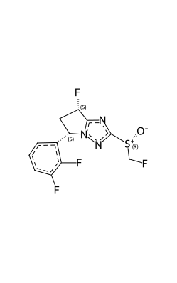 [O-][S@+](CF)c1nc2n(n1)[C@H](c1cccc(F)c1F)C[C@@H]2F